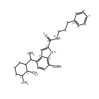 COc1ccc(C(N)C2CCCC(C)C2C)c2cc(C(=O)NCCCc3ccccc3)oc12